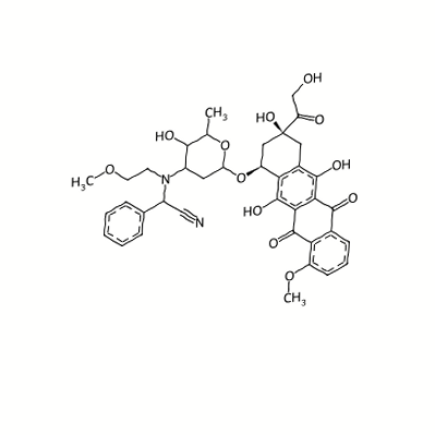 COCCN(C(C#N)c1ccccc1)C1CC(O[C@H]2C[C@](O)(C(=O)CO)Cc3c(O)c4c(c(O)c32)C(=O)c2c(OC)cccc2C4=O)OC(C)C1O